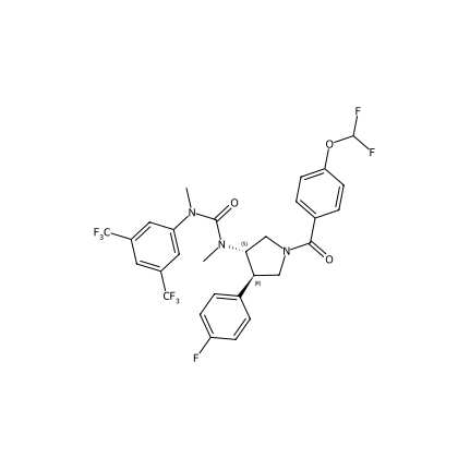 CN(C(=O)N(C)[C@@H]1CN(C(=O)c2ccc(OC(F)F)cc2)C[C@H]1c1ccc(F)cc1)c1cc(C(F)(F)F)cc(C(F)(F)F)c1